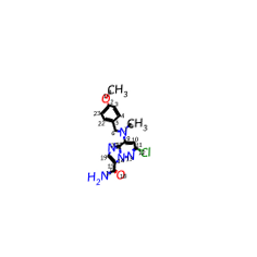 COc1ccc(CN(C)c2cc(Cl)nn3c(C(N)=O)cnc23)cc1